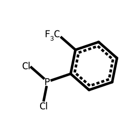 FC(F)(F)c1ccccc1P(Cl)Cl